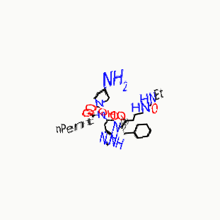 CCCCCC(=O)N(OC(=O)N1CCC(N)CC1)C(Cc1c[nH]cn1)C(=O)N[C@@H](CC1CCCCC1)[C@@H](O)CCCNC(=O)NCC